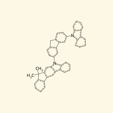 CC1(C)c2ccccc2-c2cc3c4ccccc4n(-c4ccc5c(c4)-c4cc(-n6c7ccccc7c7ccccc76)ccc4C5)c3cc21